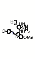 COc1ccc2nc(/C=C/c3ccc(Cl)cc3)cc(NC3CCCCC3NC(=N)N)c2c1.Cl.Cl